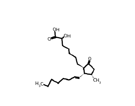 CCCCCC/C=C/[C@H]1[C@@H](C)CC(=O)[C@@H]1CCCCCC(O)C(=O)O